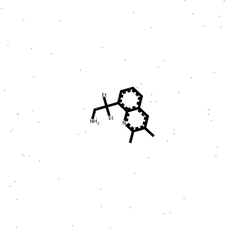 CCC(CC)(CN)c1cccc2cc(C)c(C)nc12